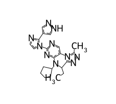 CCC1c2nnc(C)n2-c2cnc(-n3ccnc3-c3cn[nH]c3)nc2N1C1CCCC1